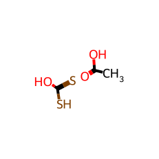 CC(=O)O.OC(=S)S